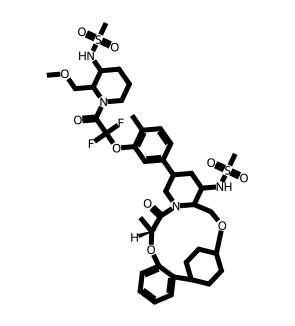 COCC1C(NS(C)(=O)=O)CCCN1C(=O)C(F)(F)Oc1cc(C2CC(NS(C)(=O)=O)C3COC4CCC(CC4)c4ccccc4O[C@H](C)C(=O)N3C2)ccc1C